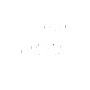 CCC(C)(C[Si](C)(C)C)C(=O)OC(C)(C)C